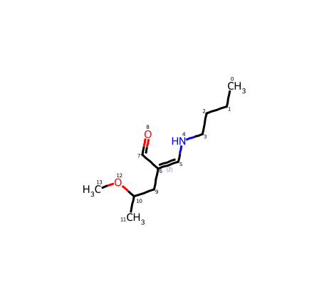 CCCCN/C=C(\C=O)CC(C)OC